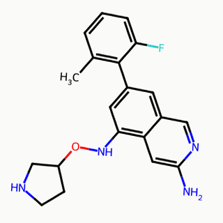 Cc1cccc(F)c1-c1cc(NOC2CCNC2)c2cc(N)ncc2c1